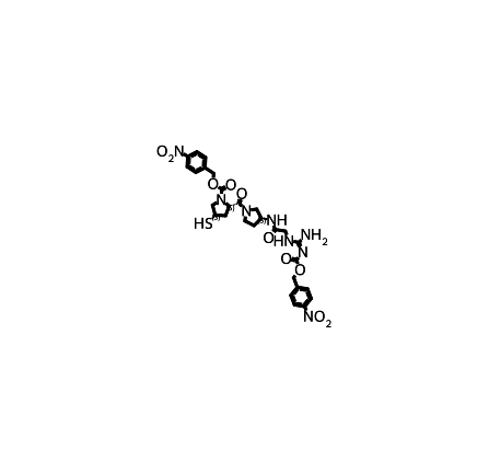 NC(=NC(=O)OCc1ccc([N+](=O)[O-])cc1)NCC(=O)N[C@H]1CCN(C(=O)[C@@H]2C[C@H](S)CN2C(=O)OCc2ccc([N+](=O)[O-])cc2)C1